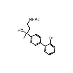 CC(=O)NCCC(C)(O)c1ccc(-c2ccccc2Br)cc1